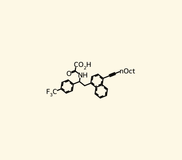 CCCCCCCCC#Cc1ccc(CC(NC(=O)C(=O)O)c2ccc(C(F)(F)F)cc2)c2ccccc12